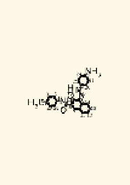 Cc1ccc(NC(=O)c2cc3ccccc3c(N=Nc3ccc(N)cc3)c2O)cc1